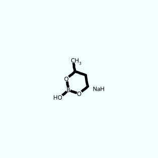 CC1CCOB(O)O1.[NaH]